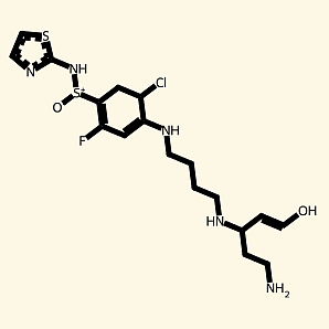 NCCC(/C=C/O)NCCCCNC1=CC(F)=C([S+]([O-])Nc2nccs2)CC1Cl